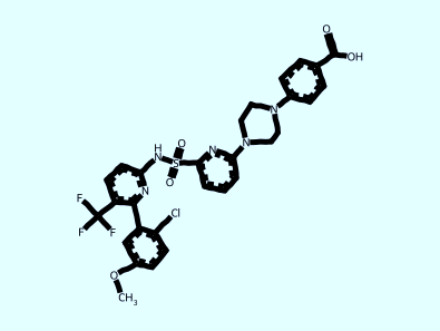 COc1ccc(Cl)c(-c2nc(NS(=O)(=O)c3cccc(N4CCN(c5ccc(C(=O)O)cc5)CC4)n3)ccc2C(F)(F)F)c1